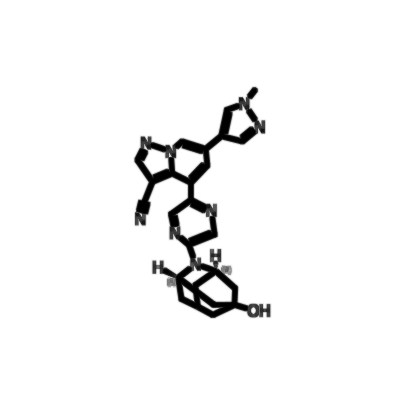 Cn1cc(-c2cc(-c3cnc(N4[C@@H]5CC6C[C@H]4CC(O)(C6)C5)cn3)c3c(C#N)cnn3c2)cn1